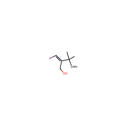 COC(C)(C)/C(=C/I)CO